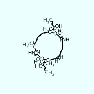 C/C=C/[C@H](O)C(C)(C)[C@@H]1C\C=C/C=C\C=C\[C@H](OC)Cc2nc(c[nH]2)C(=O)O[C@H](C(C)(C)[C@@H](O)/C=C/C)C/C=C\[C@H]2C[C@H]2/C=C/C=C\c2nc(c[nH]2)C(=O)O1